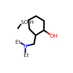 CCN(CC)CC1CCCCC1O.CS(=O)(=O)O